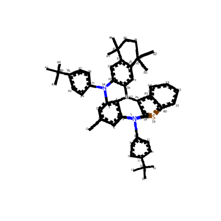 Cc1cc2c3c(c1)N(c1ccc(C(C)(C)C)cc1)c1sc4ccccc4c1B3c1cc3c(cc1N2c1ccc(C(C)(C)C)cc1)C(C)(C)CCC3(C)C